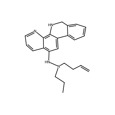 C=CCCN(CCC)Nc1cc2c(c3ncccc13)NCc1ccccc1-2